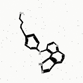 CCCCc1ccc(Nc2ccnc3ccc4cn[nH]c4c23)cc1